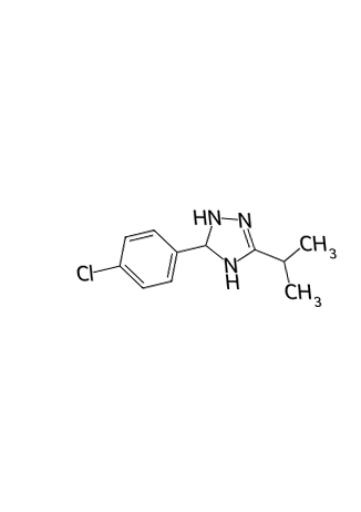 CC(C)C1=NNC(c2ccc(Cl)cc2)N1